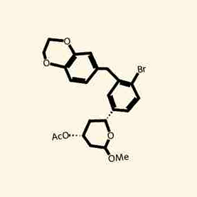 COC1C[C@H](OC(C)=O)C[C@H](c2ccc(Br)c(Cc3ccc4c(c3)OCCO4)c2)O1